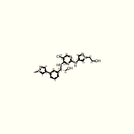 Cn1cc(-c2cccc([C@@H](CO)Nc3nc(Nc4cnn(CCO)c4)ncc3Cl)c2)cn1